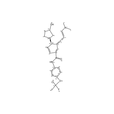 CN(C)C=S=C=C1C=C(C(=O)Nc2ccc(OC(F)(F)Cl)cc2)C=N[C@H]1N1CCC(O)C1